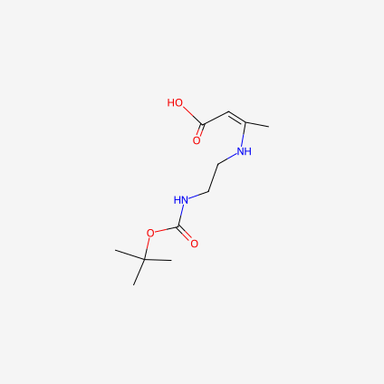 CC(=CC(=O)O)NCCNC(=O)OC(C)(C)C